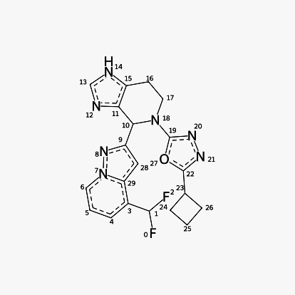 FC(F)c1cccn2nc(C3c4nc[nH]c4CCN3c3nnc(C4CCC4)o3)cc12